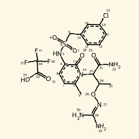 Cc1ccc(NS(=O)(=O)Cc2cccc(Cl)c2)c(=O)n1C(C(N)=O)C(C)ON=C(N)N.O=C(O)C(F)(F)F